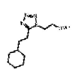 [CH2]OCCn1nnnc1CCC1CCCCC1